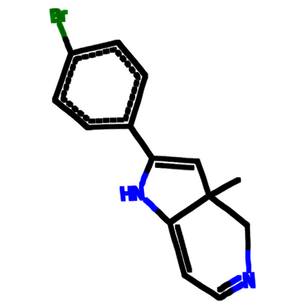 CC12C=C(c3ccc(Br)cc3)NC1=CC=NC2